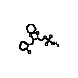 NS(=O)(=O)OCC1OC2(CCCCC2)OC1Cc1ccccc1Cl